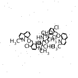 Cc1ccc2cccc(OCc3c(Cl)ccc(N(C)C(C=O)NC(=O)NC(C=O)N(C)c4ccc(Cl)c(COc5cccc6ccc(C)nc56)c4Cl)c3Cl)c2n1